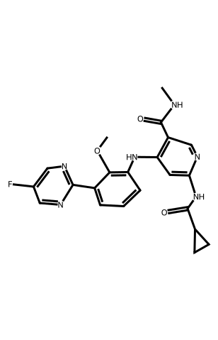 CNC(=O)c1cnc(NC(=O)C2CC2)cc1Nc1cccc(-c2ncc(F)cn2)c1OC